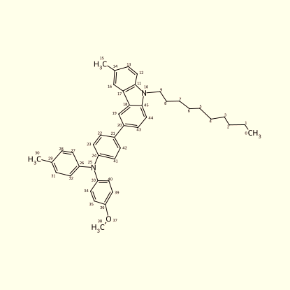 CCCCCCCCCCn1c2ccc(C)cc2c2cc(-c3ccc(N(c4ccc(C)cc4)c4ccc(OC)cc4)cc3)ccc21